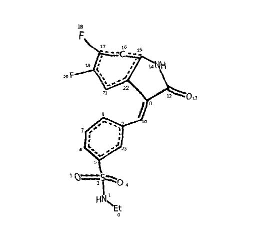 CCNS(=O)(=O)c1cccc(/C=C2/C(=O)Nc3cc(F)c(F)cc32)c1